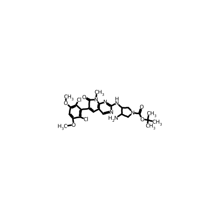 COc1cc(OC)c(Cl)c(-c2cc3cnc(NC4CN(C(=O)OC(C)(C)C)CC4N)nc3n(C)c2=O)c1Cl